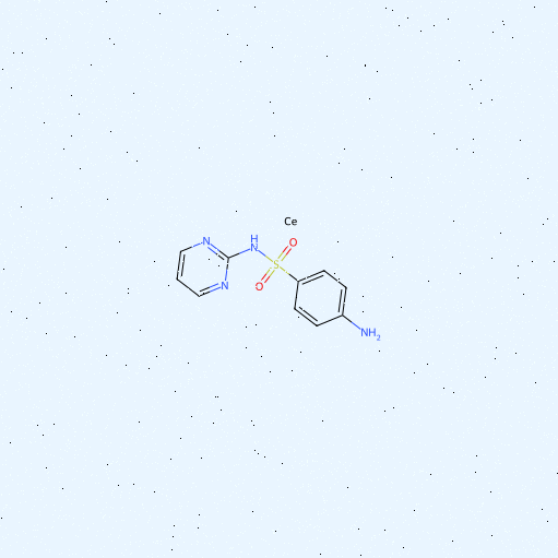 Nc1ccc(S(=O)(=O)Nc2ncccn2)cc1.[Ce]